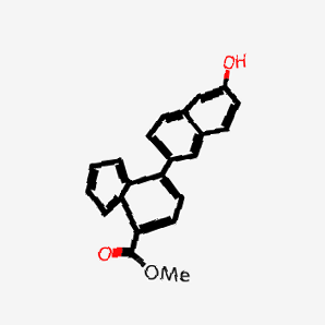 COC(=O)c1ccc(-c2ccc3cc(O)ccc3c2)c2ccccc12